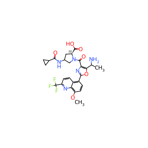 COc1ccc(-c2nc(C(=O)N3CC(NC(=O)C4CC4)C[C@H]3C(=O)O)c(C(C)N)o2)c2ccc(C(F)(F)F)nc12